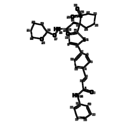 O=C(C=Cc1ccc(-c2ccc([C@@]3(CC(=O)NOC4CCCCO4)CCCCS3(=O)=O)s2)cc1)Nc1ccccc1